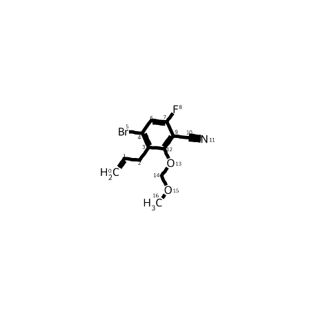 C=CCc1c(Br)cc(F)c(C#N)c1OCOC